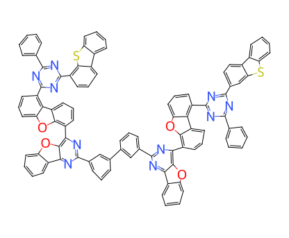 c1ccc(-c2nc(-c3ccc4c(c3)sc3ccccc34)nc(-c3cccc4oc5c(-c6nc(-c7cccc(-c8cccc(-c9nc(-c%10cccc%11c%10oc%10cccc(-c%12nc(-c%13ccccc%13)nc(-c%13cccc%14c%13sc%13ccccc%13%14)n%12)c%10%11)c%10oc%11ccccc%11c%10n9)c8)c7)nc7c6oc6ccccc67)cccc5c34)n2)cc1